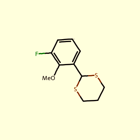 COc1c(F)c[c]cc1C1SCCCS1